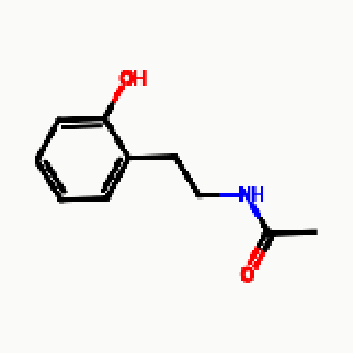 CC(=O)NCCc1ccccc1O